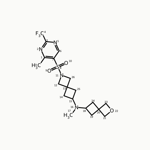 Cc1nc(C(F)(F)F)ncc1S(=O)(=O)N1CC2(CC(N(C)C3CC4(COC4)C3)C2)C1